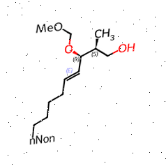 CCCCCCCCCCCCC/C=C/[C@@H](OCOC)[C@@H](C)CO